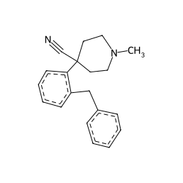 CN1CCC(C#N)(c2ccccc2Cc2ccccc2)CC1